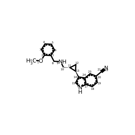 COc1ccccc1CNC[C@@H]1C[C@H]1c1c[nH]c2ccc(C#N)cc12